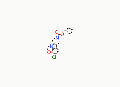 O=C(OCc1ccccc1)N1CCc2c(n3c4c(c(Cl)ccc24)OCC3)CC1